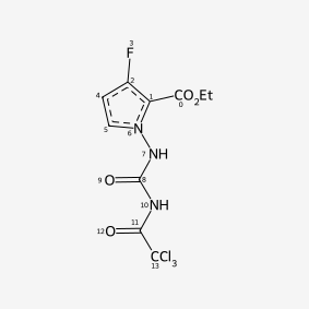 CCOC(=O)c1c(F)ccn1NC(=O)NC(=O)C(Cl)(Cl)Cl